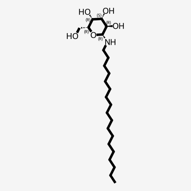 CCCCCCCCCCCCCCCCCCN[C@@H]1O[C@H](CO)[C@H](O)[C@H](O)[C@H]1O